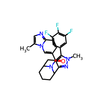 Cc1cnc2ccc(C(=O)N3C4CCCC3c3nn(C)c(-c5cc(F)c(F)c(F)c5)c3C4)cn12